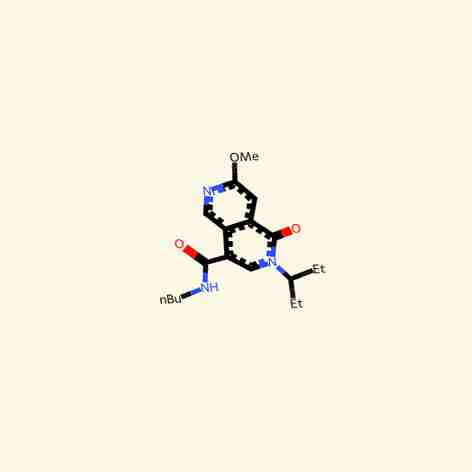 CCCCNC(=O)c1cn(C(CC)CC)c(=O)c2cc(OC)ncc12